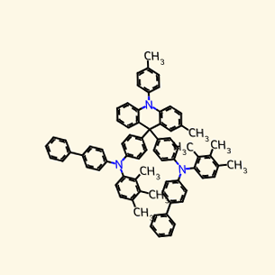 Cc1ccc(N2c3ccccc3C(c3ccc(N(c4ccc(-c5ccccc5)cc4)c4ccc(C)c(C)c4C)cc3)(c3ccc(N(c4ccc(-c5ccccc5)cc4)c4ccc(C)c(C)c4C)cc3)c3cc(C)ccc32)cc1